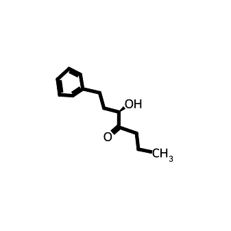 CCCC(=O)[C@H](O)CCc1ccccc1